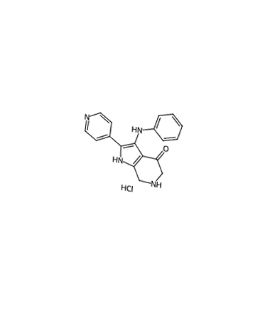 Cl.O=C1CNCc2[nH]c(-c3ccncc3)c(Nc3ccccc3)c21